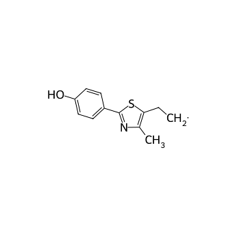 [CH2]Cc1sc(-c2ccc(O)cc2)nc1C